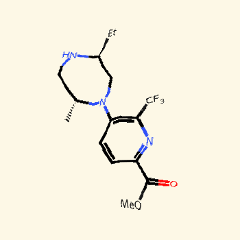 CC[C@H]1CN(c2ccc(C(=O)OC)nc2C(F)(F)F)[C@H](C)CN1